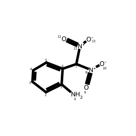 Nc1ccccc1C([N+](=O)[O-])[N+](=O)[O-]